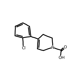 O=C(O)N1CC=C(c2ccccc2Cl)CC1